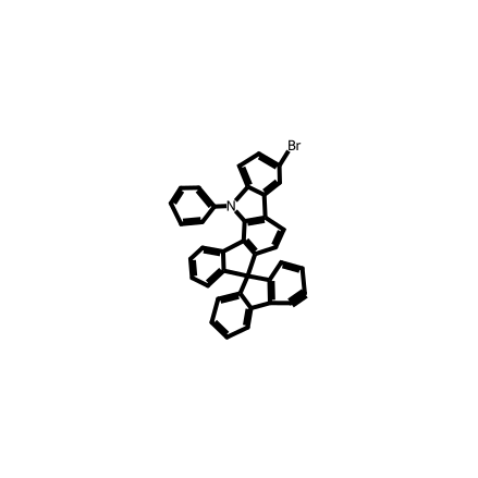 Brc1ccc2c(c1)c1ccc3c(c1n2-c1ccccc1)-c1ccccc1C31c2ccc#cc2-c2ccccc21